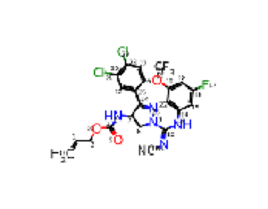 C=CCOC(=O)N[C@@H]1CN(/C(=N\C#N)Nc2cc(F)cc(OC(F)(F)F)c2)N=C1c1ccc(Cl)c(Cl)c1